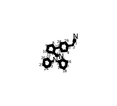 N#CCc1ccc(-c2ccccc2-c2nc3ccccc3n2-c2ccccc2)cc1